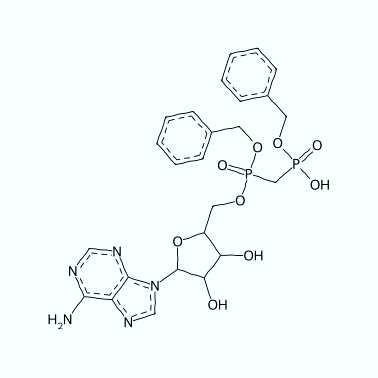 Nc1ncnc2c1ncn2C1OC(COP(=O)(CP(=O)(O)OCc2ccccc2)OCc2ccccc2)C(O)C1O